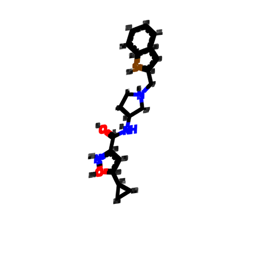 O=C(NC1CCN(Cc2cc3ccccc3s2)C1)c1cc(C2CC2)on1